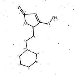 COC1=CC(=O)OC1CCC1CCCCC1